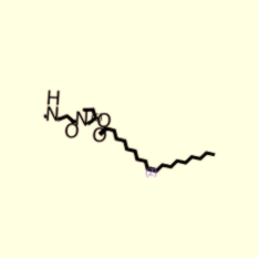 CCCCCCCC/C=C\CCCCCCCC(=O)O[C@H]1CCN(C(=O)CCNC)C1